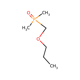 CCCOCP(C)(C)=O